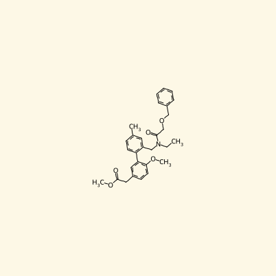 CCN(Cc1cc(C)ccc1-c1cc(CC(=O)OC)ccc1OC)C(=O)COCc1ccccc1